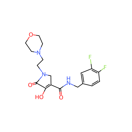 O=C(NCc1ccc(F)c(F)c1)C1=C(O)C(=O)N(CCN2CCOCC2)C1